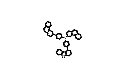 c1ccc2c(c1)ccc1ccc(-c3ccc(N(c4ccc(-c5cccc6oc7ccccc7c56)cc4)c4ccc5ccc6ccccc6c5c4)cc3)cc12